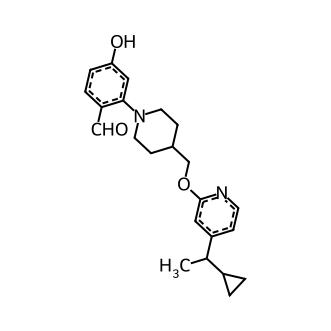 CC(c1ccnc(OCC2CCN(c3cc(O)ccc3C=O)CC2)c1)C1CC1